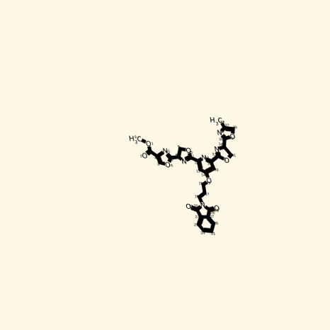 COC(=O)c1coc(C2COC(c3cc(OCCCN4C(=O)c5ccccc5C4=O)cc(C4=NC(c5nc(C)co5)CO4)n3)=N2)n1